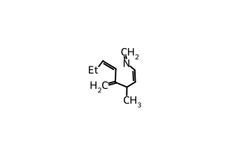 C=N/C=C\C(C)C(=C)/C=C\CC